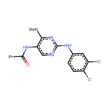 CNc1nc(Nc2ccc(Cl)c(Cl)c2)ncc1NC(=O)C(C)C